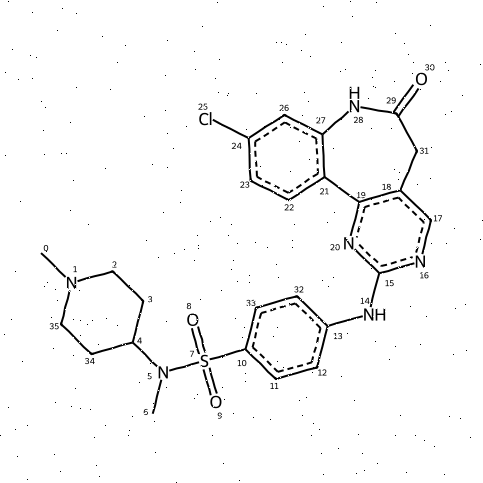 CN1CCC(N(C)S(=O)(=O)c2ccc(Nc3ncc4c(n3)-c3ccc(Cl)cc3NC(=O)C4)cc2)CC1